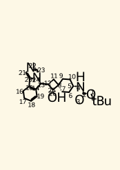 CC(C)(C)OC(=O)N[C@H]1CC[C@@]2(CC1)C[C@H]([C@H]1C3=C(CCC=C3)c3cncn31)[C@@H]2O